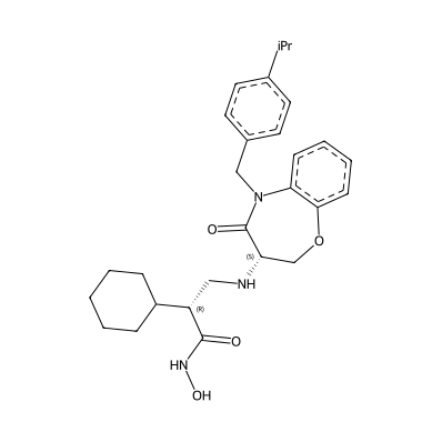 CC(C)c1ccc(CN2C(=O)[C@@H](NC[C@H](C(=O)NO)C3CCCCC3)COc3ccccc32)cc1